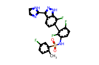 Cc1ccc(F)cc1S(=O)(=O)Nc1ccc(F)c(-c2ccc3c(-c4ncc[nH]4)n[nH]c3c2F)c1F